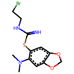 CN(C)c1cc2c(cc1SC(=N)NCCBr)OCO2